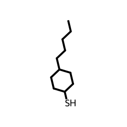 CCCCCC1CCC(S)CC1